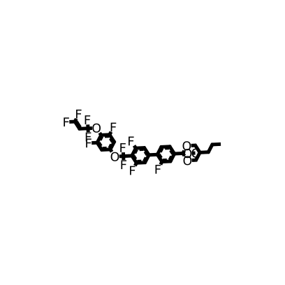 CCCC12COC(c3ccc(-c4cc(F)c(C(F)(F)Oc5cc(F)c(OC(F)(F)C=C(F)F)c(F)c5)c(F)c4)c(F)c3)(OC1)OC2